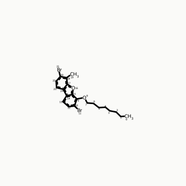 CCCCCCCCOc1c(Br)ccc2c1oc1c(C)c(Br)ccc12